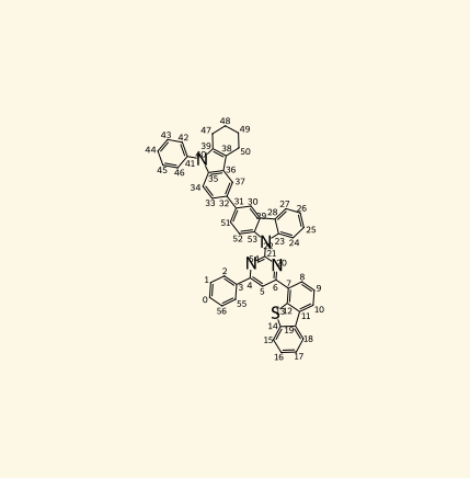 c1ccc(-c2cc(-c3cccc4c3sc3ccccc34)nc(-n3c4ccccc4c4cc(-c5ccc6c(c5)c5c(n6-c6ccccc6)CCCC5)ccc43)n2)cc1